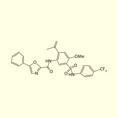 C=C(C)c1cc(OC)c(S(=O)(=O)Nc2ccc(C(F)(F)F)cc2)cc1NC(=O)c1ncc(-c2ccccc2)o1